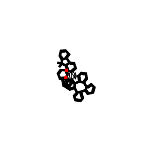 CC1(C)c2ccccc2-c2ccc(N(c3ccccc3)c3cccc4c3-c3c(ccc5c3oc3ccccc35)-c3ccccc3-c3ccccc3-4)cc21